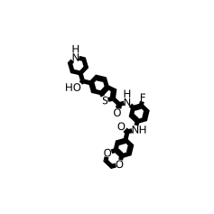 O=C(Nc1ccc(F)c(NC(=O)c2cc3ccc(C(O)C4CCNCC4)cc3s2)c1)c1ccc2c(c1)OCCO2